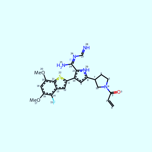 C=CC(=O)N1CCC(c2cc(-c3cc4c(F)c(OC)cc(OC)c4s3)c(/C(N)=N\C=N)[nH]2)C1